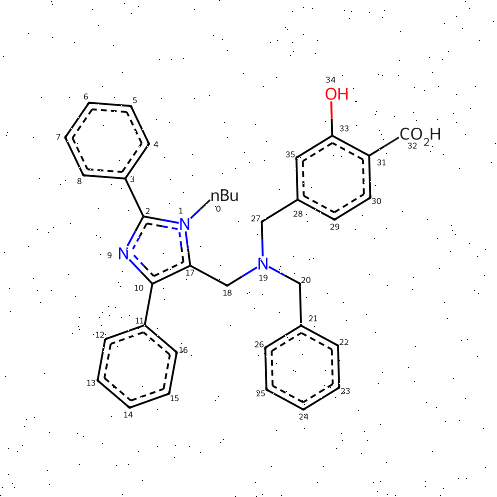 CCCCn1c(-c2ccccc2)nc(-c2ccccc2)c1CN(Cc1ccccc1)Cc1ccc(C(=O)O)c(O)c1